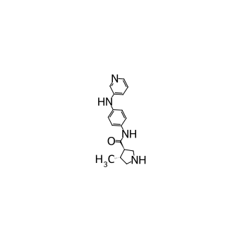 C[C@H]1CNC[C@@H]1C(=O)Nc1ccc(Nc2cccnc2)cc1